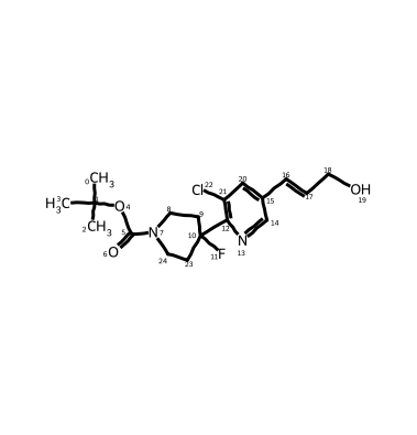 CC(C)(C)OC(=O)N1CCC(F)(c2ncc(/C=C/CO)cc2Cl)CC1